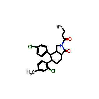 Cc1ccc(C2CCC3C(=O)N(C(=O)CCC(C)C)CC3C2c2ccc(Cl)cc2)c(Cl)c1